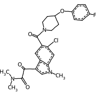 CN(C)C(=O)C(=O)c1cn(C)c2cc(Cl)c(C(=O)N3CCC(Oc4ccc(F)cc4)CC3)cc12